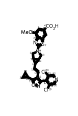 COc1cc(C(=O)O)cc2sc(N3CC4C(/C=C/c5c(-c6c(Cl)cncc6Cl)noc5C5CC5)C4C3)nc12